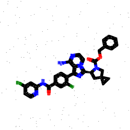 Nc1nccn2c([C@@H]3CC4(CC4)CN3C(=O)OCc3ccccc3)nc(-c3ccc(C(=O)Nc4cc(Br)ccn4)cc3F)c12